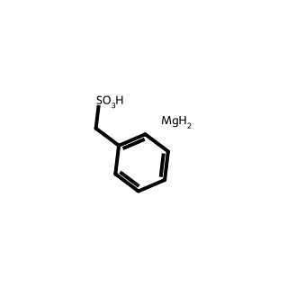 O=S(=O)(O)Cc1ccccc1.[MgH2]